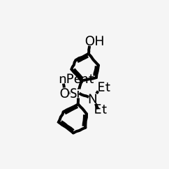 CCCCCO[Si](c1ccccc1)(c1ccc(O)cc1)N(CC)CC